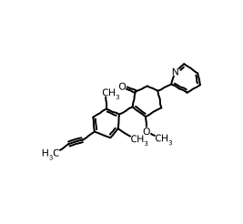 CC#Cc1cc(C)c(C2=C(OC)CC(c3ccccn3)CC2=O)c(C)c1